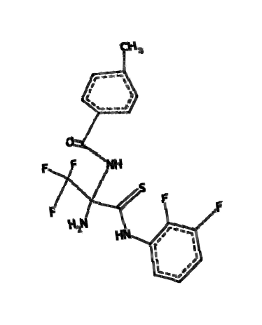 Cc1ccc(C(=O)NC(N)(C(=S)Nc2cccc(F)c2F)C(F)(F)F)cc1